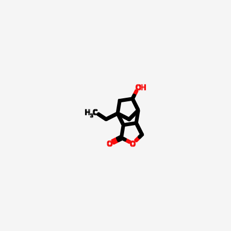 CCC12CC(O)C(C1)C1COC(=O)C12